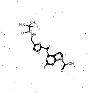 CC(C)(C)[S+]([O-])NCc1csc(C(=O)c2cc(F)cc3c2ccn3C(=O)O)n1